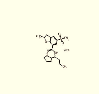 CCCC(NC(=O)c1cc(S(C)(=O)=O)cc2c1OC(C)C2)C1CCCN1.Cl